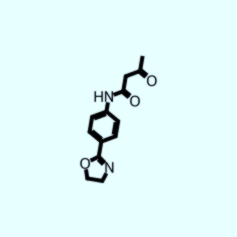 CC(=O)CC(=O)Nc1ccc(C2=NCCO2)cc1